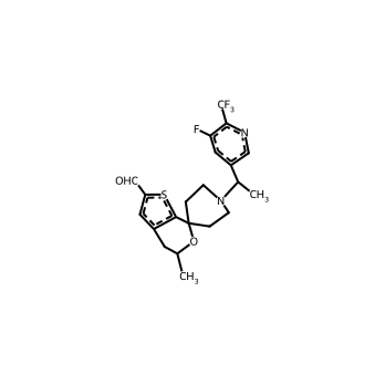 CC1Cc2cc(C=O)sc2C2(CCN(C(C)c3cnc(C(F)(F)F)c(F)c3)CC2)O1